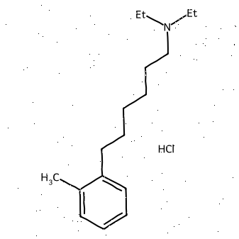 CCN(CC)CCCCCCc1ccccc1C.Cl